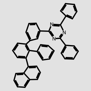 c1ccc(-c2nc(-c3ccccc3)nc(-c3cccc(-c4cccc(-c5cccc6ccccc56)c4-c4ccccc4)c3)n2)cc1